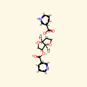 O=C(O[C@H]1CO[C@H]2[C@@H]1OC[C@H]2OC(=O)c1cccnc1)c1cccnc1